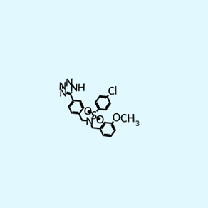 COc1cccc(CN(Cc2ccc(-c3nnn[nH]3)cc2)S(=O)(=O)c2ccc(Cl)cc2)c1